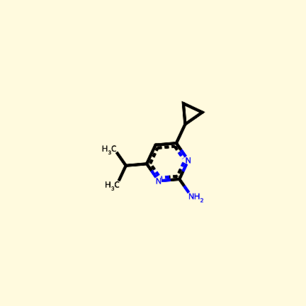 CC(C)c1cc(C2CC2)nc(N)n1